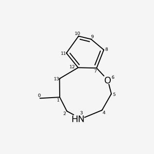 CC1CNCCOc2ccccc2C1